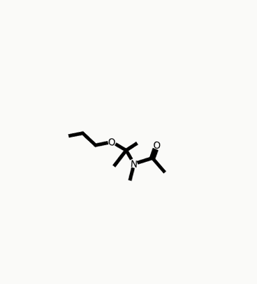 CCCOC(C)(C)N(C)C(C)=O